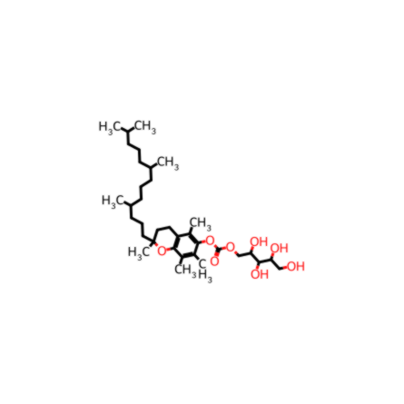 Cc1c(C)c2c(c(C)c1OC(=O)OCC(O)C(O)C(O)CO)CCC(C)(CCCC(C)CCCC(C)CCCC(C)C)O2